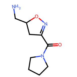 NCC1CC(C(=O)N2CCCC2)=NO1